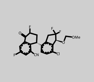 COCO[C@H]1c2c(Cl)ccc([C@H]3CC(F)C(=O)c4cc(F)cc(C#N)c43)c2CC1(F)F